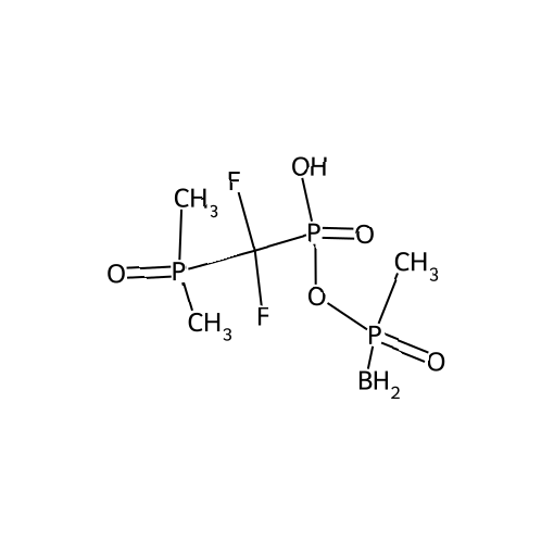 BP(C)(=O)OP(=O)(O)C(F)(F)P(C)(C)=O